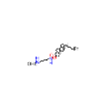 CC(C)CCC[C@@H](C)[C@H]1CCC2C3CC=C4CC(OC(=O)NCCCCCCN[C]=O)CC[C@]4(C)C3CC[C@@]21C